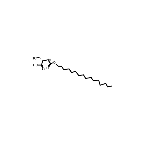 CCCCCCCCCCCCCCCCOC(=O)N[C@@H](CO)C(=O)O